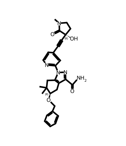 CN1CC[C@@](O)(C#Cc2ccnc(-n3nc(C(N)=O)c4c3CC(C)(C)[C@H](OCc3ccccc3)C4)c2)C1=O